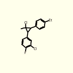 CCc1ccc(C2C(c3ccc(F)c(Cl)c3)C2(C)Cl)cc1